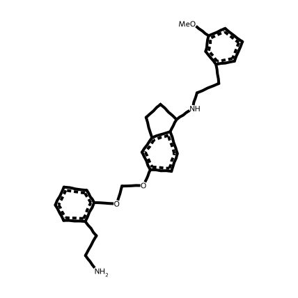 COc1cccc(CCNC2CCc3cc(OCOc4ccccc4CCN)ccc32)c1